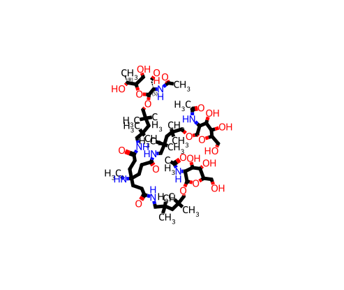 CNC(CCC(=O)NCC(C)(C)CC(C)(C)COC1OC(CO)C(O)C(O)C1NC(C)=O)(CCC(=O)NCC(C)(C)CC(C)(C)COC1OC(CO)C(O)C(O)C1NC(C)=O)CCC(=O)NCC(C)(C)CC(C)(C)COC(OC(CO)[C@@H](C)O)[C@H](CO)NC(C)=O